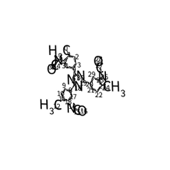 Cc1ccc(-c2nc(-c3ccc(C)c(N=C=O)c3)nc(-c3ccc(C)c(N=C=O)c3)n2)cc1N=C=O